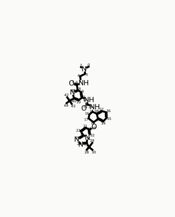 CN(C)CCNC(=O)c1cc(NC(=O)N[C@H]2CC[C@@H](Oc3ccc4nnc(C(C)(C)C)n4c3)c3ccccc32)cc(C(C)(C)C)n1